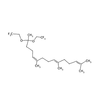 CC(C)=CCC/C(C)=C/CC/C(C)=C\CCC(C)(OCC(F)(F)F)OCC(F)(F)F